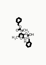 C[C@@H]1C[C@H](N(C)C(=O)OCc2ccccc2)[C@@H](OC(O)OCc2ccccc2)[C@H](O)O1